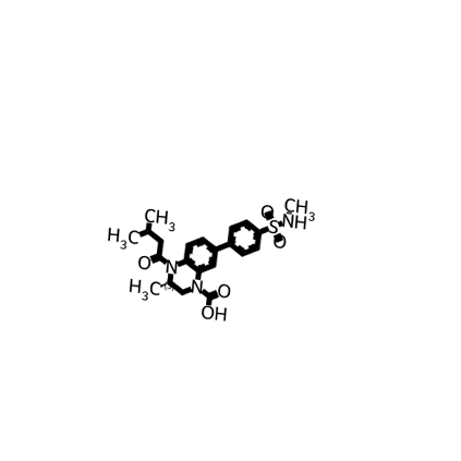 CNS(=O)(=O)c1ccc(-c2ccc3c(c2)N(C(=O)O)C[C@H](C)N3C(=O)CC(C)C)cc1